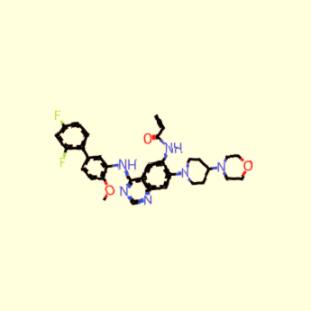 C=CC(=O)Nc1cc2c(Nc3cc(-c4ccc(F)cc4F)ccc3OC)ncnc2cc1N1CCC(N2CCOCC2)CC1